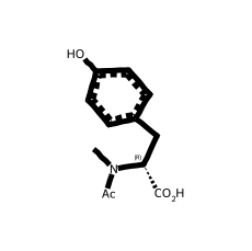 CC(=O)N(C)[C@H](Cc1ccc(O)cc1)C(=O)O